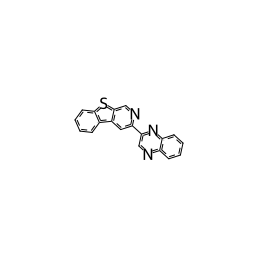 c1ccc2nc(-c3cc4c(cn3)sc3ccccc34)cnc2c1